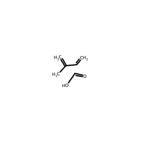 C=CC(=C)C.O=CO